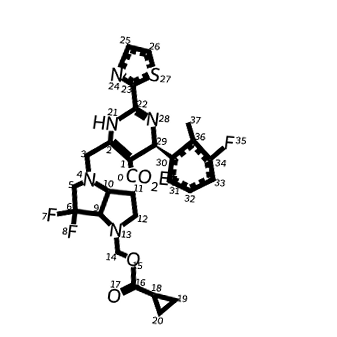 CCOC(=O)C1=C(CN2CC(F)(F)C3C2CCN3COC(=O)C2CC2)NC(c2nccs2)=N[C@H]1c1cccc(F)c1C